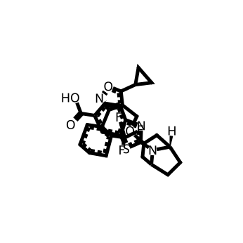 O=C(O)c1ccc2nc(N3C4CC[C@H]3CC(OCc3c(-c5ccccc5C(F)(F)F)noc3C3CC3)C4)sc2c1